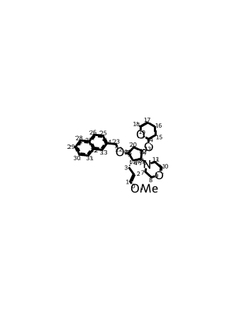 COC=CC[C@H]1[C@H](N2CCOCC2)[C@@H](OC2CCCCO2)C[C@H]1OCc1ccc2ccccc2c1